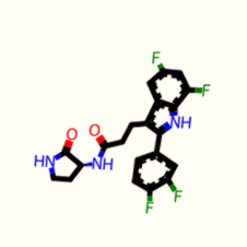 O=C(CCc1c(-c2ccc(F)c(F)c2)[nH]c2c(F)cc(F)cc12)N[C@H]1CCNC1=O